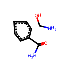 NC(=O)c1ccccc1.NCO